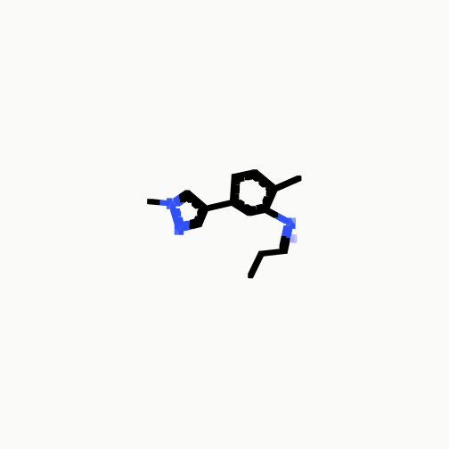 CC/C=N\c1cc(-c2cnn(C)c2)ccc1C